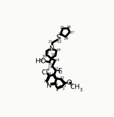 COc1ccc2ncc(Cl)c([C@H](F)CCC3(CO)CCN(CCSC4CCCC4)CC3)c2c1